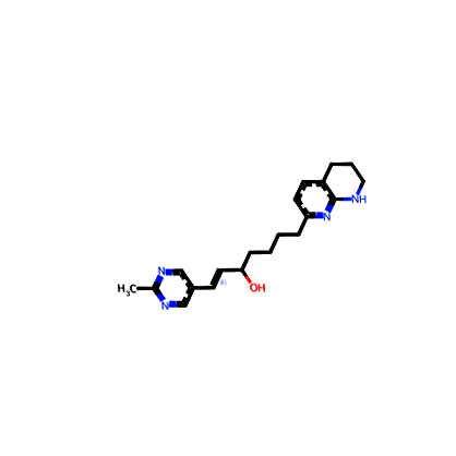 Cc1ncc(/C=C/C(O)CCCCc2ccc3c(n2)NCCC3)cn1